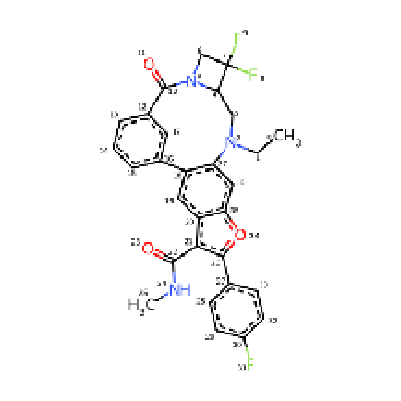 CCN1CC2N(CC2(F)F)C(=O)c2cccc(c2)-c2cc3c(C(=O)NC)c(-c4ccc(F)cc4)oc3cc21